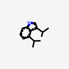 CC(C)c1cccc2[nH]cc(C(C)C)c12